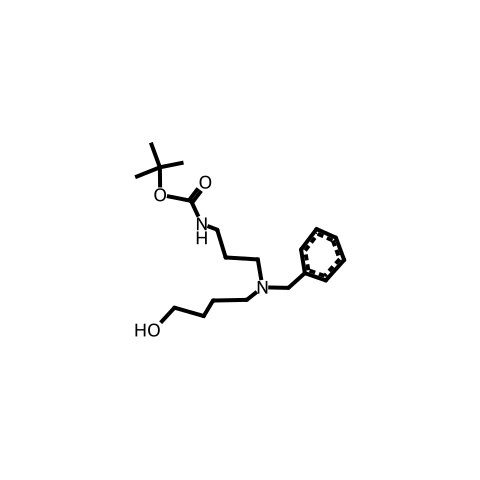 CC(C)(C)OC(=O)NCCCN(CCCCO)Cc1ccccc1